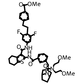 COCCN(CCOC)C(=O)N1C2CCC1CN(Cc1cccc(C(=O)Nc3sc4c(c3C(=O)Nc3cc(F)c(CCc5ccc(C(=O)OC)cc5)c(F)c3)CCCC4)c1)C2